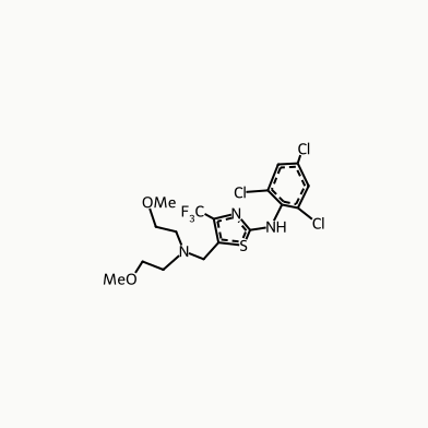 COCCN(CCOC)Cc1sc(Nc2c(Cl)cc(Cl)cc2Cl)nc1C(F)(F)F